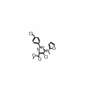 COC(=O)c1nc(-c2ccc(Cl)cc2)nc(N(C)c2ccco2)c1Cl